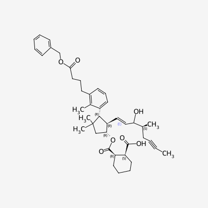 CC#CC[C@H](C)C(O)/C=C/[C@@H]1[C@@H](c2cccc(CCCC(=O)OCc3ccccc3)c2C)C(C)(C)C[C@H]1OC(=O)[C@@H]1CCCC[C@@H]1C(=O)O